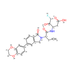 CCC(C(=O)NC(CC(=O)O)C(=O)CF)N1Cc2cc(-c3ccc4c(c3)OCCO4)ccc2C1=O